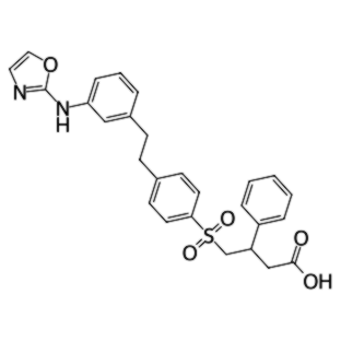 O=C(O)CC(CS(=O)(=O)c1ccc(CCc2cccc(Nc3ncco3)c2)cc1)c1ccccc1